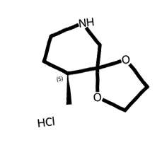 C[C@H]1CCNCC12OCCO2.Cl